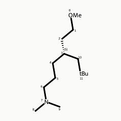 COCC[C@@H](CCCN(C)C)CC(C)(C)C